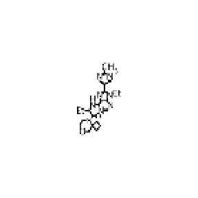 CCC(Nc1ncnc2c1nc(-c1cnc(C)nc1)n2CC)C(=O)N1CCOCC12CCC2